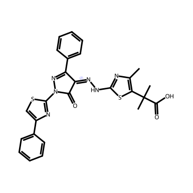 Cc1nc(N/N=C2\C(=O)N(c3nc(-c4ccccc4)cs3)N=C2c2ccccc2)sc1C(C)(C)C(=O)O